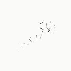 CC1C2CC3CC1CC(C2)C3(CC(=O)N1CC(OC(=O)NCC(C)(C)O)C1)c1ccccc1